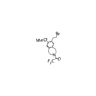 COc1cc2c(cc1CCBr)CCN(C(=O)C(F)(F)F)CC2